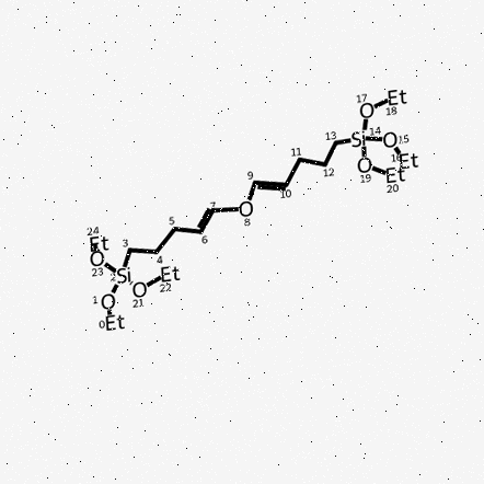 CCO[Si](CCCC=COC=CCCC[Si](OCC)(OCC)OCC)(OCC)OCC